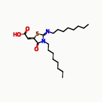 CCCCCCCCN=C1SC(=CC(=O)O)C(=O)N1CCCCCCCC